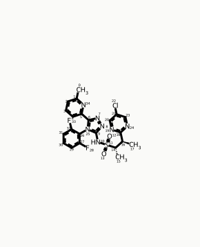 Cc1cccc(-c2nnc(NS(=O)(=O)[C@@H](C)[C@H](C)c3ncc(Cl)cn3)n2-c2c(F)cccc2F)n1